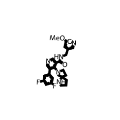 COc1cncc(CNC(=O)c2cncc(-c3cc(F)cc(F)c3)c2N2CCC3(CCCN3)C2)c1